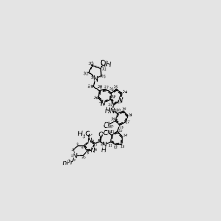 CCCN1CCc2c(nc(C(=O)Nc3cccc(-c4cccc(Nc5nccc6cc(CN7CC[C@@H](O)C7)cnc56)c4Cl)c3Cl)n2C)C1